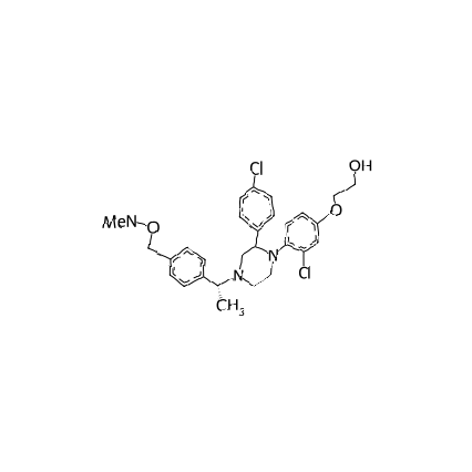 CNOCc1ccc([C@@H](C)N2CCN(c3ccc(OCCO)cc3Cl)C(c3ccc(Cl)cc3)C2)cc1